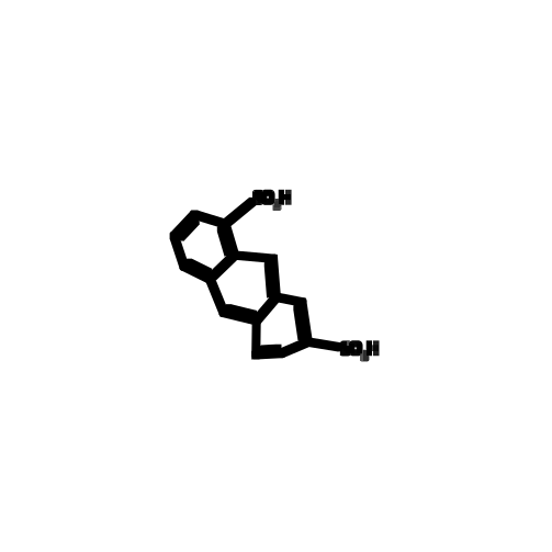 O=S(=O)(O)c1ccc2cc3cccc(S(=O)(=O)O)c3cc2c1